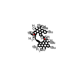 C=Cc1cc2c3c4c1C(CC(C)(C)C)c1cc(C(C)(C)C)cc5c(=CC(C)(C)C)c6c(C=C)c7cc(C(C)(C)C)cc8c9cc(ccc9c3c(c78)c6c4c15)C(C)C/C(=C\C(=C/C)C(C)C)c1cc(C(C)(C)C)cc3c(C=C)c4c(=CC(C)(C)C)/c(=C/C)c5c(C(C)(C)C)c6c(c7c8c(c(c13)c4c75)CC(SC)=C8C(S)=C2)CCC(C(C)(C)C)=C6